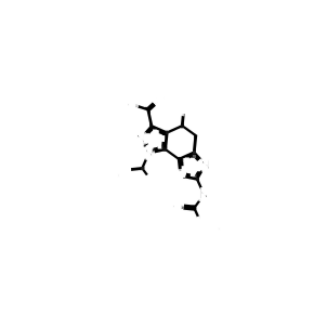 CC(=O)Nc1nc2c(s1)-c1c(c(C(=O)O)nn1C(C)C)C(C)C2